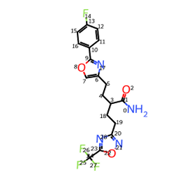 NC(=O)C(CCc1coc(-c2ccc(F)cc2)n1)CCc1noc(C(F)(F)F)n1